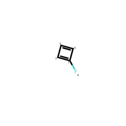 FC1=CC=C1